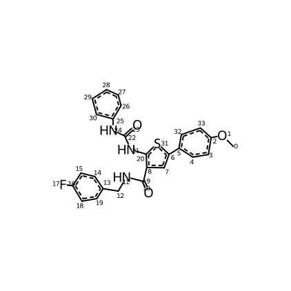 COc1ccc(-c2cc(C(=O)NCc3ccc(F)cc3)c(NC(=O)Nc3ccccc3)s2)cc1